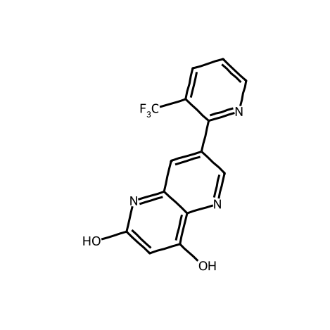 Oc1cc(O)c2ncc(-c3ncccc3C(F)(F)F)cc2n1